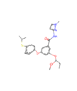 CCC(OC)Oc1cc(Oc2ccc(SC(C)C)cc2)cc(C(=O)Nc2ccn(C)n2)c1